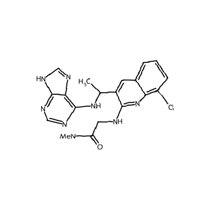 CNC(=O)CNc1nc2c(Cl)cccc2cc1C(C)Nc1ncnc2[nH]cnc12